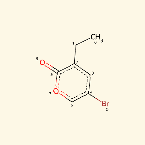 CCc1cc(Br)coc1=O